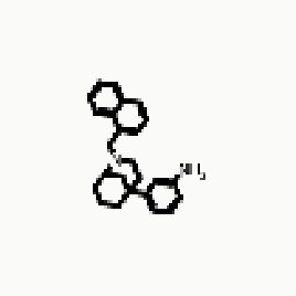 Nc1cccc(C23CCCC(C2)N(Cc2cccc4ccccc24)CC3)c1